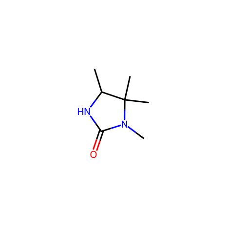 CC1NC(=O)N(C)C1(C)C